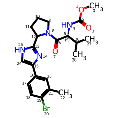 COC(=O)N[C@H](C(=O)N1CCCC1c1nc(-c2ccc(Br)c(C)c2)c[nH]1)C(C)C